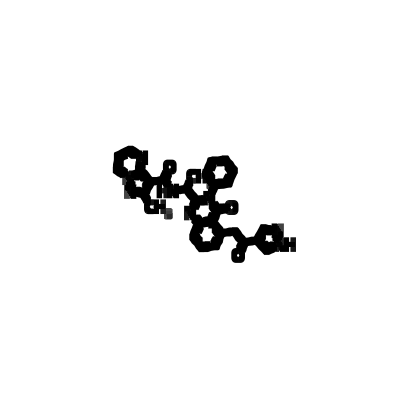 Cc1nn2cccnc2c1C(=O)NC(C)c1nc2cccc(CC(=O)c3cn[nH]c3)c2c(=O)n1-c1ccccc1